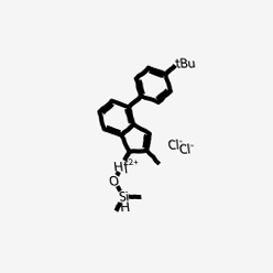 CC1=Cc2c(-c3ccc(C(C)(C)C)cc3)cccc2[CH]1[Hf+2][O][SiH](C)C.[Cl-].[Cl-]